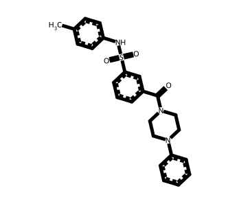 Cc1ccc(NS(=O)(=O)c2cccc(C(=O)N3CCN(c4ccccc4)CC3)c2)cc1